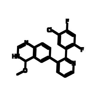 COC1NC=Nc2ccc(-c3cccnc3-c3cc(Cl)c(F)cc3F)cc21